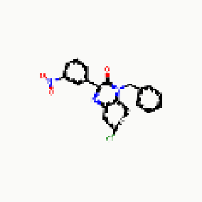 O=c1c(-c2cccc([N+](=O)[O-])c2)nc2cc(Cl)ccc2n1Cc1ccccc1